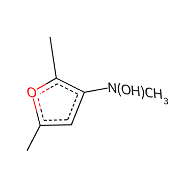 Cc1cc(N(C)O)c(C)o1